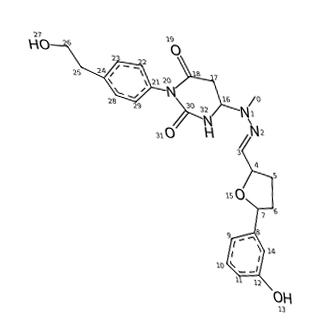 CN(/N=C/C1CCC(c2cccc(O)c2)O1)C1CC(=O)N(c2ccc(CCO)cc2)C(=O)N1